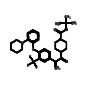 C=C(C(=O)N1CCN(C(=O)OC(C)(C)C)CC1)c1ccc(Sc2ccccc2N2CCCCC2)c(C(F)(F)F)c1